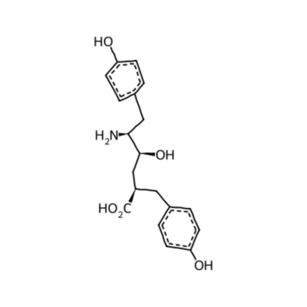 N[C@@H](Cc1ccc(O)cc1)[C@@H](O)C[C@@H](Cc1ccc(O)cc1)C(=O)O